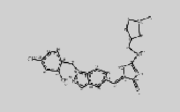 CN1CCC(CN(C)C2=NC(=O)/C(=C/c3ccc4c(cnn4Cc4ccc(Cl)cc4C(F)(F)F)c3)S2)C1